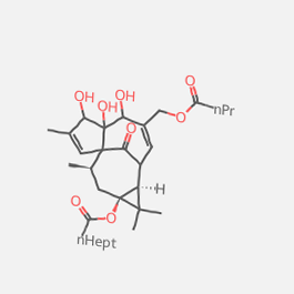 CCCCCCCC(=O)O[C@@]12C[C@@H](C)C34C=C(C)C(O)C3(O)C(O)C(COC(=O)CCC)=CC(C4=O)[C@H]1C2(C)C